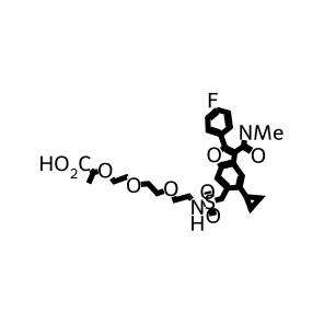 CNC(=O)c1c(-c2ccc(F)cc2)oc2cc(CS(=O)(=O)NCCOCCOCCOC(C)C(=O)O)c(C3CC3)cc12